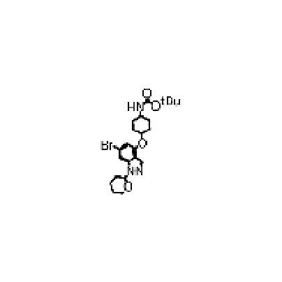 CC(C)(C)OC(=O)NC1CCC(Oc2cc(Br)cc3c2cnn3C2CCCCO2)CC1